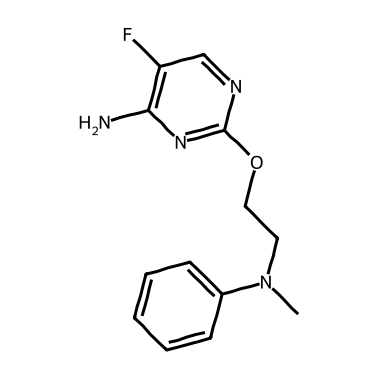 CN(CCOc1ncc(F)c(N)n1)c1ccccc1